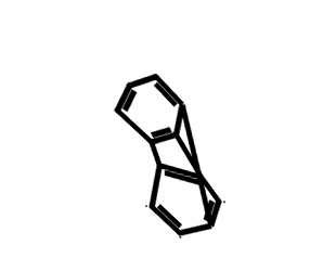 [c]1[c]c2c3[c]c1c1cccc2c1-3